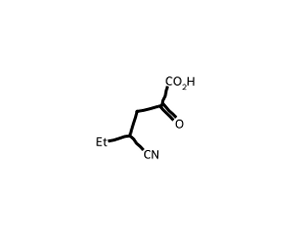 CCC(C#N)CC(=O)C(=O)O